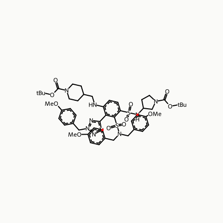 COc1ccc(CN(Cc2ccc(OC)cc2)S(=O)(=O)c2c(S(=O)(=O)NC3CCN(C(=O)OC(C)(C)C)C3)ccc(NCC3CCN(C(=O)OC(C)(C)C)CC3)c2-c2nnn(Cc3ccc(OC)cc3)n2)cc1